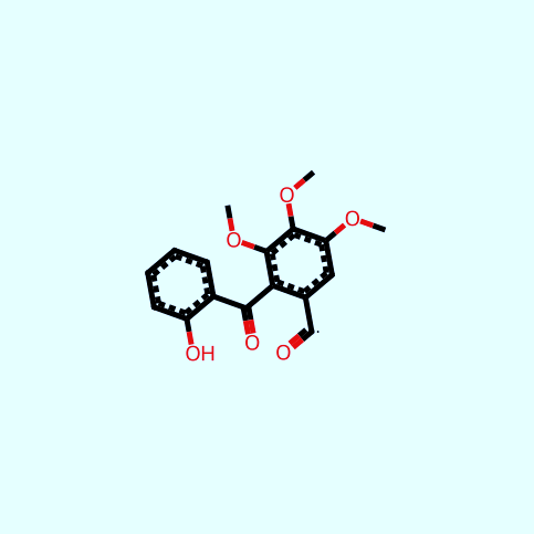 COc1cc([C]=O)c(C(=O)c2ccccc2O)c(OC)c1OC